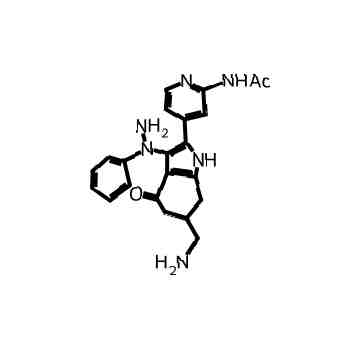 CC(=O)Nc1cc(-c2[nH]c3c(c2N(N)c2ccccc2)C(=O)CC(CN)C3)ccn1